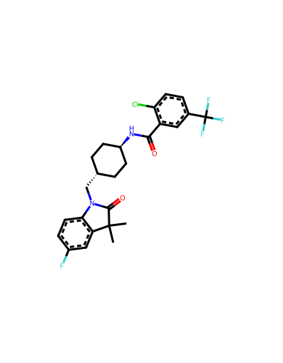 CC1(C)C(=O)N(C[C@H]2CC[C@H](NC(=O)c3cc(C(F)(F)F)ccc3Cl)CC2)c2ccc(F)cc21